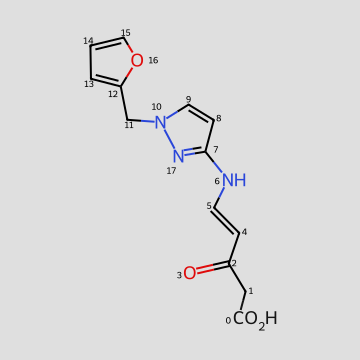 O=C(O)CC(=O)C=CNc1ccn(Cc2ccco2)n1